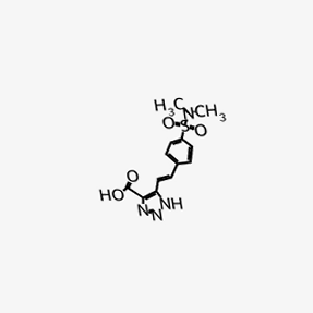 CN(C)S(=O)(=O)c1ccc(C=Cc2[nH]nnc2C(=O)O)cc1